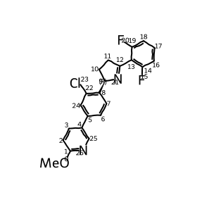 COc1ccc(-c2ccc([C@H]3CCC(c4c(F)cccc4F)=N3)c(Cl)c2)cn1